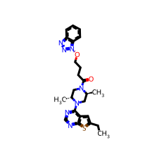 CCc1cc2c(N3C[C@H](C)N(C(=O)CCCOn4nnc5ccccc54)C[C@H]3C)ncnc2s1